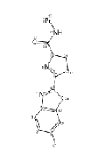 Cc1ccc2nc(C3=NC(C(=O)NC(C)C)CS3)sc2c1